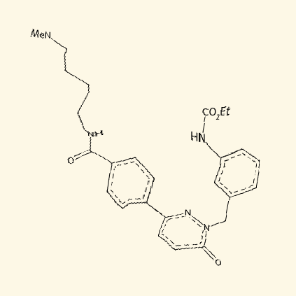 CCOC(=O)Nc1cccc(Cn2nc(-c3ccc(C(=O)NCCCCNC)cc3)ccc2=O)c1